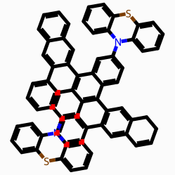 C1=Cc2cc(-c3ccccc3)c(-c3c4ccc(N5c6ccccc6Sc6ccccc65)cc4c(-c4cc5ccccc5cc4-c4ccccc4)c4ccc(N5c6ccccc6Sc6ccccc65)cc34)cc2CC1